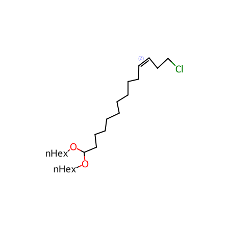 CCCCCCOC(CCCCCCCCC/C=C\CCCl)OCCCCCC